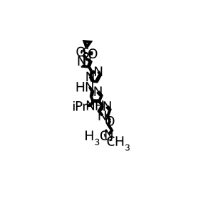 CC(C)Nc1cc(Nc2ccnc(-c3cnn(S(=O)(=O)C4CC4)c3)n2)ncc1-c1cnc(OCCN(C)C)cn1